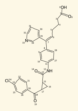 O=C(O)CCCC=C(c1ccc(NC(=O)C2CC2C(=O)c2ccc(Cl)cc2)cc1)c1cccnc1